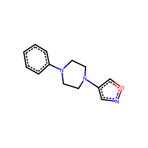 [c]1nocc1N1CCN(c2ccccc2)CC1